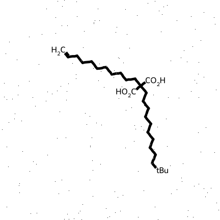 C=CCCCCCCCCCC(CCCCCCCCCCC(C)(C)C)(C(=O)O)C(=O)O